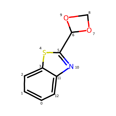 c1ccc2sc(C3OCO3)nc2c1